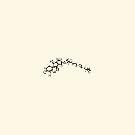 O=NCCCOCCCOC1CN(c2ccc3c(c2)C(=O)N(C2CCC(=O)NC2=O)C3=O)C1